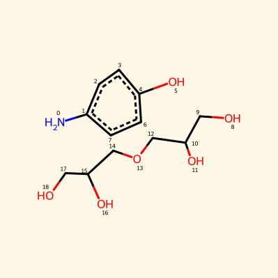 Nc1ccc(O)cc1.OCC(O)COCC(O)CO